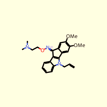 C=CCn1c2c(c3ccccc31)/C(=N\OCCN(C)C)c1cc(OC)c(OC)cc1-2